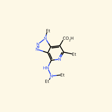 CCc1nc(NN(CC)CC)c2nnn(CC)c2c1C(=O)O